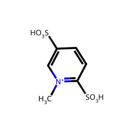 C[n+]1cc(S(=O)(=O)O)ccc1S(=O)(=O)O